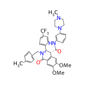 COc1cc2c(cc1OC)[C@@H](C(=O)Nc1cccc(N3CCN(C)CC3)c1)C(c1ccc(C(F)(F)F)cc1)=[N+](Cc1ccc(C)cc1)C2=O